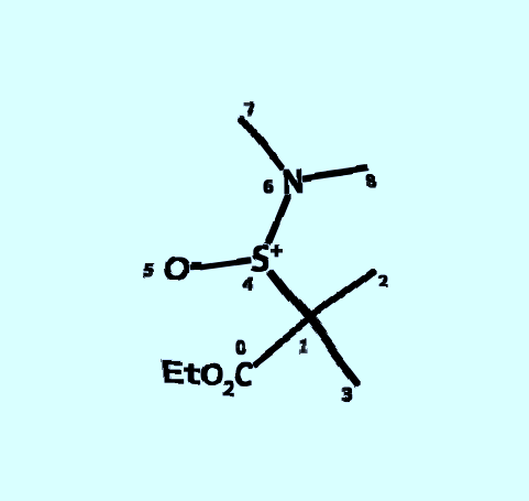 CCOC(=O)C(C)(C)[S+]([O-])N(C)C